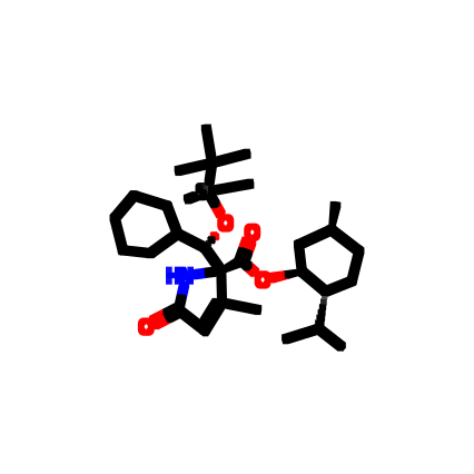 CC1=CC(=O)N[C@]1(C(=O)O[C@H]1C[C@@H](C)CC[C@@H]1C(C)C)[C@@H](O[Si](C)(C)C(C)(C)C)C1CCCCC1